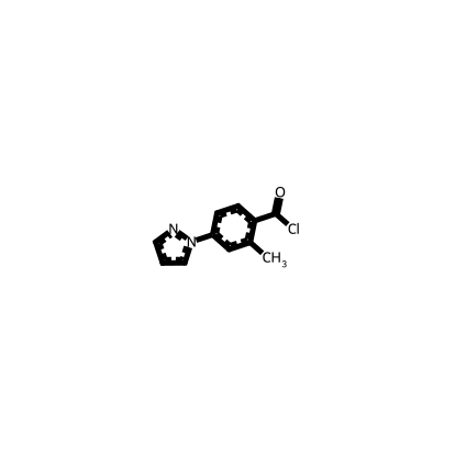 Cc1cc(-n2cccn2)ccc1C(=O)Cl